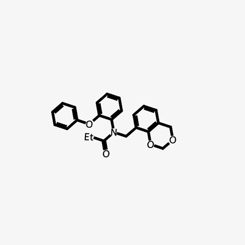 CCC(=O)N(Cc1cccc2c1OCOC2)c1ccccc1Oc1ccccc1